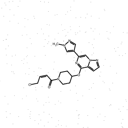 Cn1cc(-c2cn3nccc3c(OC3CCN(C(=O)/C=C\CCl)CC3)n2)cn1